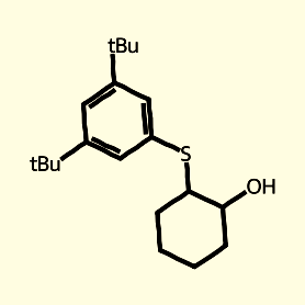 CC(C)(C)c1cc(SC2CCCCC2O)cc(C(C)(C)C)c1